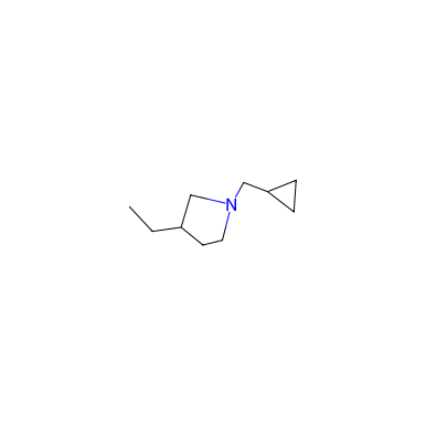 CCC1CCN(CC2CC2)C1